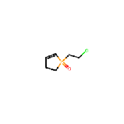 O=P1(CCCl)C=CCC1